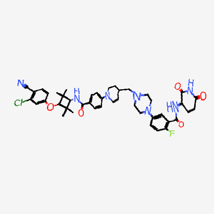 CC1(C)[C@H](NC(=O)c2ccc(N3CCC(CN4CCN(c5ccc(F)c(C(=O)NC6CCC(=O)NC6=O)c5)CC4)CC3)cc2)C(C)(C)[C@H]1Oc1ccc(C#N)c(Cl)c1